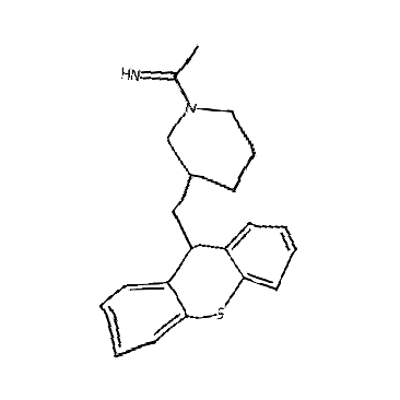 CC(=N)N1CCCC(CC2c3ccccc3Sc3ccccc32)C1